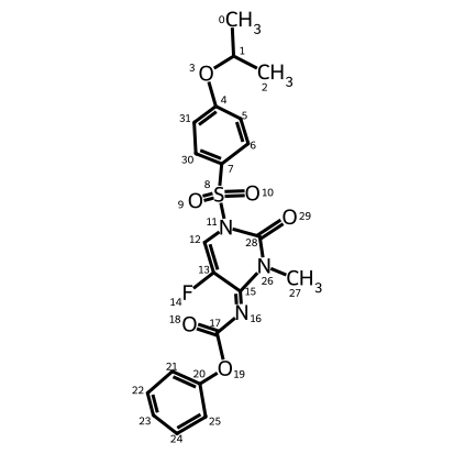 CC(C)Oc1ccc(S(=O)(=O)n2cc(F)/c(=N\C(=O)Oc3ccccc3)n(C)c2=O)cc1